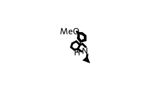 COc1cccc([C@]23CCCC[C@H]2CN(CC2CC2)CC3)c1